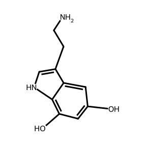 NCCc1c[nH]c2c(O)cc(O)cc12